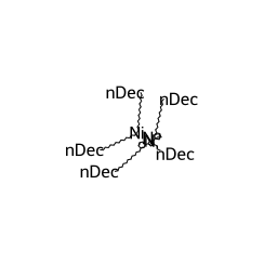 CCCCCCCCCCCC=CC1=C(c2cccc(CCCCCCCCCCCCCCCCCCCCC)c2)[N+](=[N-])C(c2cccc(CCCCCCCCCCCCCCCCCCCCC)c2)=C1.CCCCCCCCCCCCCCCCCCCCCC[CH2][Ni][CH2]CCCCCCCCCCCCCCCCCCCCCC